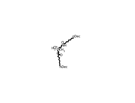 CCCCCCCCCCCCCCCCCC(=O)NCCC[N+](C)(C)CCOC(=O)CCCCCCCCCCCCCCCCC.[Cl-]